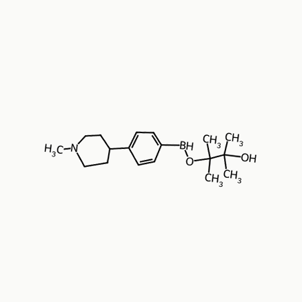 CN1CCC(c2ccc(BOC(C)(C)C(C)(C)O)cc2)CC1